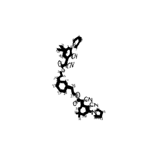 CC1(C)CC(N2CCCC2)=C(C#N)/C(=C(\C#N)C(=O)OCCCC2CCCC(CCOC(=O)/C(C#N)=C3\CC(C)(C)CC(N4CCCC4)=C3C#N)C2)C1